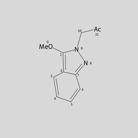 COc1c2ccccc2nn1CC(C)=O